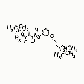 CN1CC(CCCOc2cccc(SNC(=O)c3ccc(C(C)(C)C)nc3F)c2)CC1(C)C